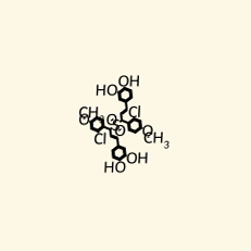 COc1ccc(C(C=Cc2ccc(O)c(O)c2)S(=O)(=O)C(C=Cc2ccc(O)c(O)c2)c2ccc(OC)cc2Cl)c(Cl)c1